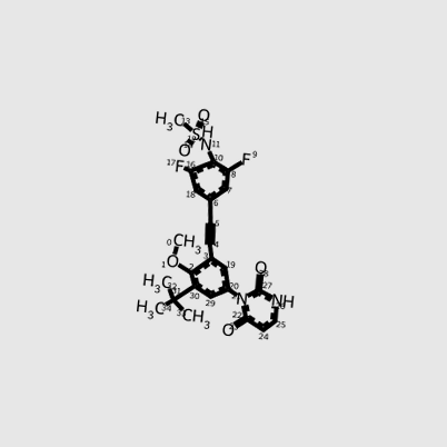 COc1c(C#Cc2cc(F)c(NS(C)(=O)=O)c(F)c2)cc(-n2c(=O)cc[nH]c2=O)cc1C(C)(C)C